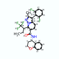 CCC(c1c(C(=O)N[C@H]2CCOc3ccccc32)ccc2c(-c3c(F)cccc3F)c(C)nn12)C(F)(F)F